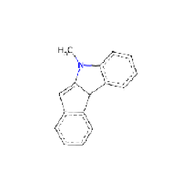 CN1C2=Cc3ccccc3C2c2[c]cccc21